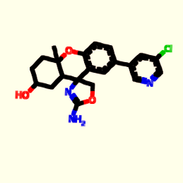 CC12CCC(O)CC1C1(COC(N)=N1)c1cc(-c3cncc(Cl)c3)ccc1O2